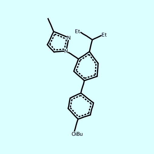 CCC(CC)c1ccc(-c2ccc(OCC(C)C)cc2)cc1-n1ccc(C)n1